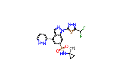 N#CC1(NS(=O)(=O)c2cc(-c3cccnn3)c3cnn(-c4nnc(C(F)F)s4)c3c2)CC1